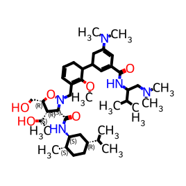 COC1=C(CN2O[C@@H](CO)[C@@H]([C@H](C)O)[C@H]2C(=O)N[C@H]2C[C@H](C(C)C)CC[C@@H]2C)C=CCC1C1C=C(C(=O)NC(CN(C)C)C(C)C)C=C(N(C)C)C1